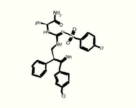 CC(C)[C@H](N/C(=N/S(=O)(=O)c1ccc(Cl)cc1)NC[C@@H](C(=N)c1ccc(Cl)cc1)c1ccccc1)C(N)=O